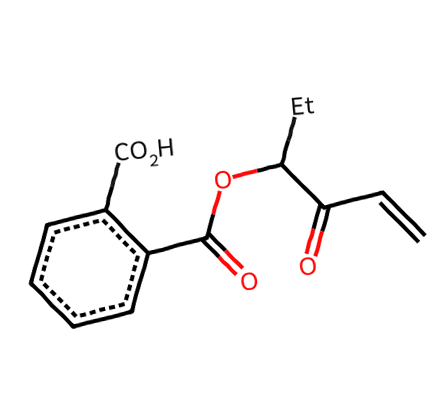 C=CC(=O)C(CC)OC(=O)c1ccccc1C(=O)O